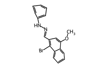 COc1cc(C=NNc2ccccc2)c(Br)c2ccccc12